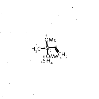 C=C[Si](C)(OC)OC.[SiH4]